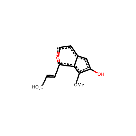 COc1c(O)cc2ccoc(C=CC(=O)O)c1-2